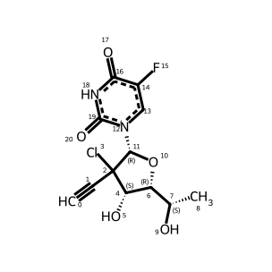 C#CC1(Cl)[C@@H](O)[C@@H]([C@H](C)O)O[C@H]1n1cc(F)c(=O)[nH]c1=O